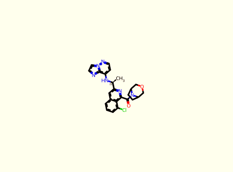 C[C@H](Nc1ccnn2ccnc12)c1cc2cccc(Cl)c2c(C(=O)N2C3CCC2COC3)n1